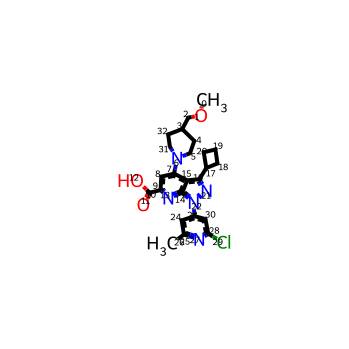 COCC1CCN(c2cc(C(=O)O)nc3c2c(C2CCC2)nn3-c2cc(C)nc(Cl)c2)CC1